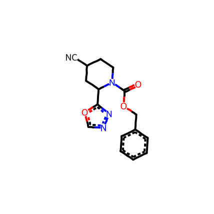 N#CC1CCN(C(=O)OCc2ccccc2)C(c2nnco2)C1